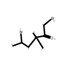 CC(Br)CC(C)(C)C(=O)CBr